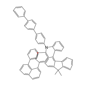 CC1(C)c2ccccc2-c2c(-c3ccccc3N(c3ccc(-c4ccc(-c5ccccc5)cc4)cc3)c3ccc(-c4cccc5cccc(-c6ccccc6)c45)cc3)cccc21